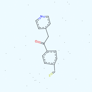 O=C(Cc1ccncc1)c1ccc(C=S)cc1